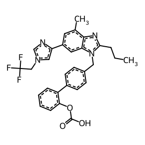 CCCc1nc2c(C)cc(-c3cn(CC(F)(F)F)cn3)cc2n1Cc1ccc(-c2ccccc2OC(=O)O)cc1